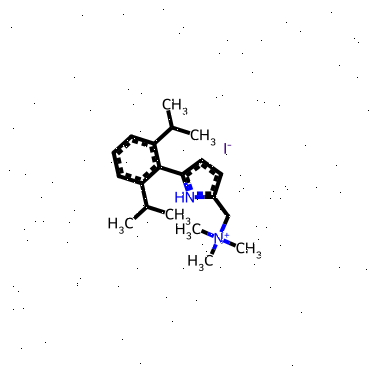 CC(C)c1cccc(C(C)C)c1-c1ccc(C[N+](C)(C)C)[nH]1.[I-]